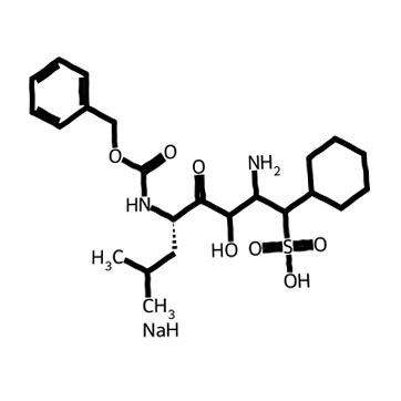 CC(C)C[C@H](NC(=O)OCc1ccccc1)C(=O)C(O)C(N)C(C1CCCCC1)S(=O)(=O)O.[NaH]